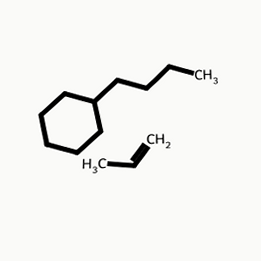 C=CC.CCCCC1CCCCC1